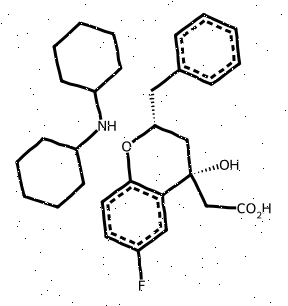 C1CCC(NC2CCCCC2)CC1.O=C(O)C[C@]1(O)C[C@@H](Cc2ccccc2)Oc2ccc(F)cc21